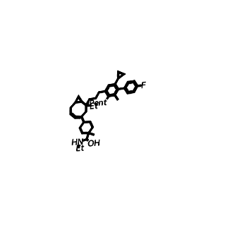 CCCC(C)c1c(CCCC2(CC)CC(C3CCC(C)(C(O)NCC)CC3)=C=CCC3CC32)cc(C2CC2)c(-c2ccc(F)cc2)c1C